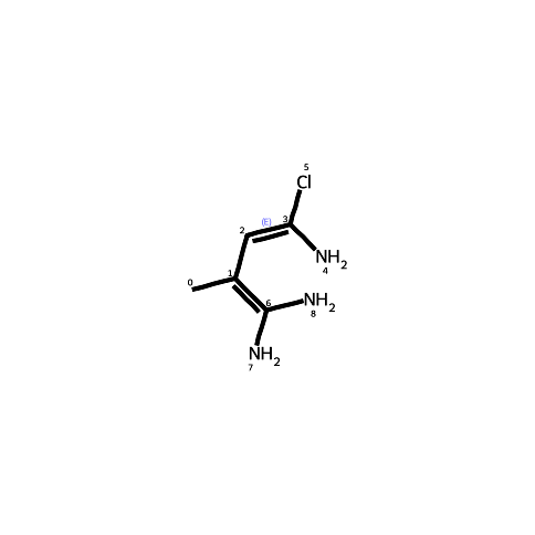 CC(/C=C(\N)Cl)=C(N)N